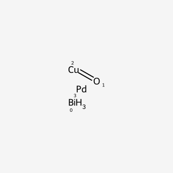 [BiH3].[O]=[Cu].[Pd]